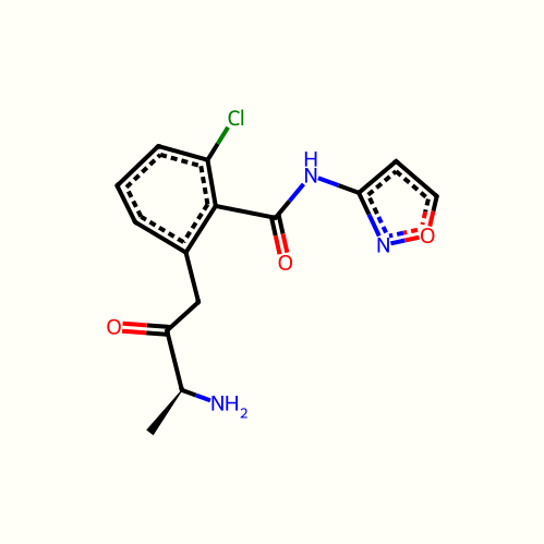 C[C@H](N)C(=O)Cc1cccc(Cl)c1C(=O)Nc1ccon1